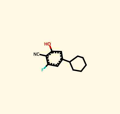 N#Cc1c(O)cc(C2CCCCC2)cc1F